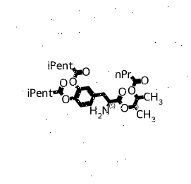 CCCC(=O)OC(C)[C@H](C)OC(=O)[C@@H](N)Cc1ccc(OC(=O)C(C)CCC)c(OC(=O)C(C)CCC)c1